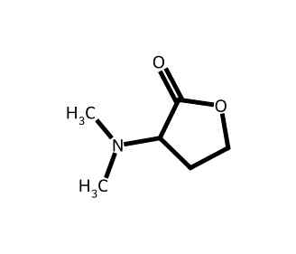 CN(C)C1CCOC1=O